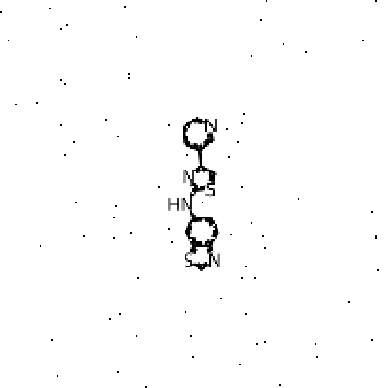 c1cncc(-c2csc(Nc3ccc4ncsc4c3)n2)c1